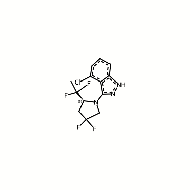 CC(F)(F)[C@@H]1CC(F)(F)CN1c1n[nH]c2cccc(Cl)c12